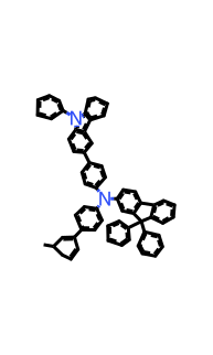 CC1C=C(c2ccc(N(c3ccc(-c4ccc5c(c4)c4ccccc4n5-c4ccccc4)cc3)c3ccc4c(c3)C(c3ccccc3)(c3ccccc3)c3ccccc3-4)cc2)C=CC1